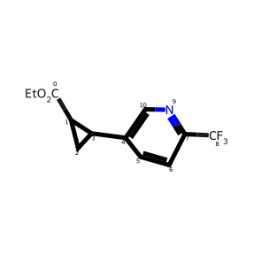 CCOC(=O)C1CC1c1ccc(C(F)(F)F)nc1